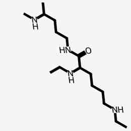 CCNCCCCC(NCC)C(=O)NCCCC(C)NC